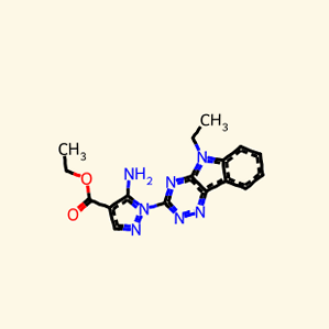 CCOC(=O)c1cnn(-c2nnc3c4ccccc4n(CC)c3n2)c1N